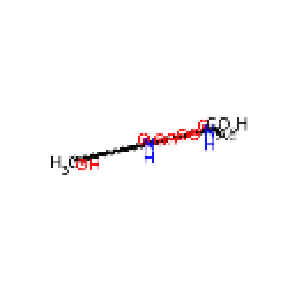 CC=C(O)CCCCCCCCCCCCCCCCC(=O)NCCOCCOCCOCCOCCC(=O)N[C@@H](CCC(C)=O)C(=O)O